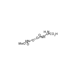 COCC(=O)NCCOCCOCC(=O)NCCCC[C@H](N)C(=O)O